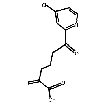 C=C(CCCC(=O)c1cc(Cl)ccn1)C(=O)O